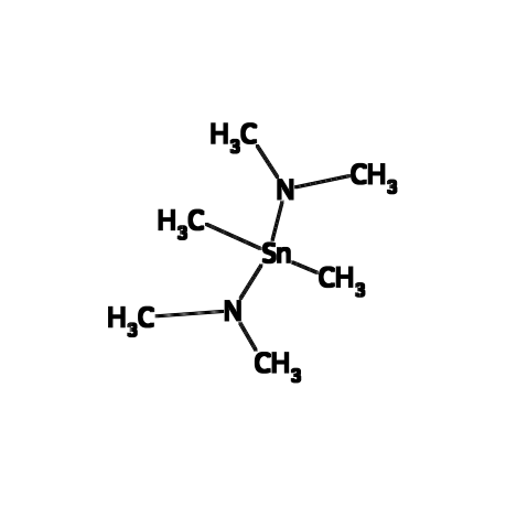 C[N](C)[Sn]([CH3])([CH3])[N](C)C